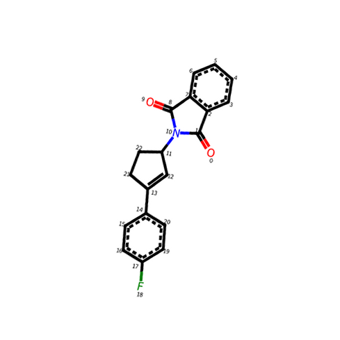 O=C1c2ccccc2C(=O)N1C1C=C(c2ccc(F)cc2)CC1